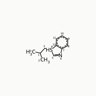 CC(C)C[SH]1C=Nc2ccccc21